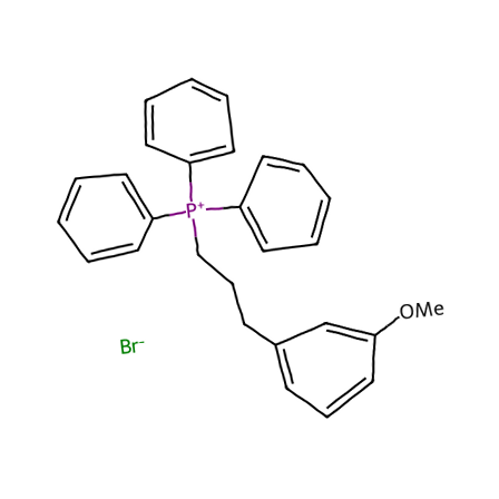 COc1cccc(CCC[P+](c2ccccc2)(c2ccccc2)c2ccccc2)c1.[Br-]